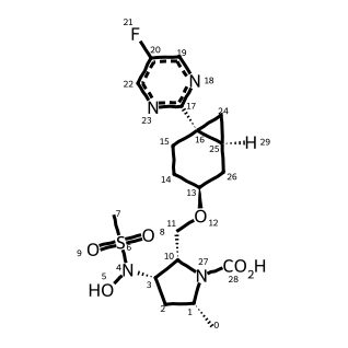 C[C@@H]1C[C@H](N(O)S(C)(=O)=O)[C@H](CO[C@H]2CC[C@@]3(c4ncc(F)cn4)C[C@H]3C2)N1C(=O)O